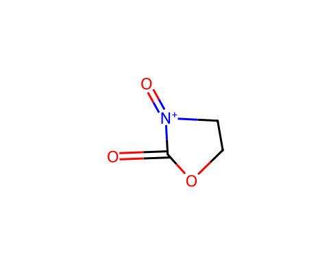 O=C1OCC[N+]1=O